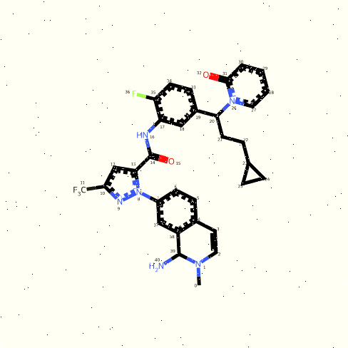 CN1C=Cc2ccc(-n3nc(C(F)(F)F)cc3C(=O)Nc3cc(C(CCC4CC4)n4ccccc4=O)ccc3F)cc2C1N